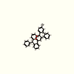 Brc1ccc2c3ccc(-c4ccccc4C(c4ccccc4)c4ccccc4)cc3c3ccccc3c2c1